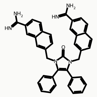 N=C(N)c1ccc2ccc(Cn3c(-c4ccccc4)c(-c4ccccc4)n(Cc4ccc5ccc(C(=N)N)cc5c4)c3=O)cc2c1